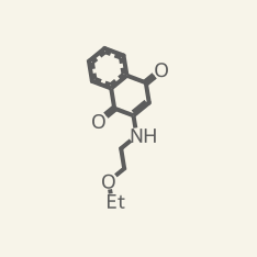 CCOCCNC1=CC(=O)c2ccccc2C1=O